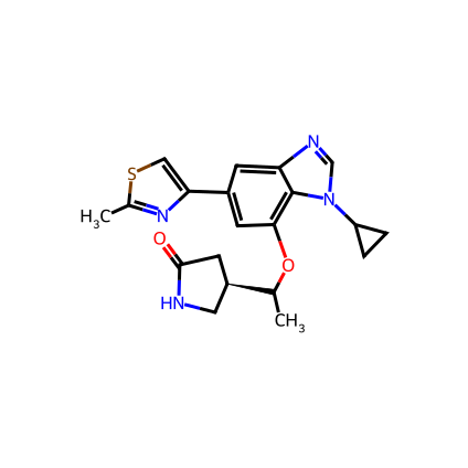 Cc1nc(-c2cc(OC(C)[C@H]3CNC(=O)C3)c3c(c2)ncn3C2CC2)cs1